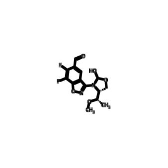 CO[C@@H](C)[C@H]1COC(O)N1c1noc2c(F)c(F)c(C=O)cc12